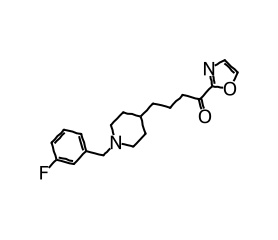 O=C(CCCC1CCN(Cc2cccc(F)c2)CC1)c1ncco1